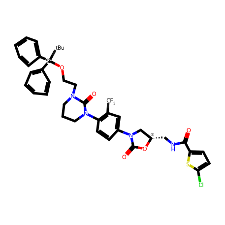 CC(C)(C)[Si](OCCN1CCCN(c2ccc(N3C[C@H](CNC(=O)c4ccc(Cl)s4)OC3=O)cc2C(F)(F)F)C1=O)(c1ccccc1)c1ccccc1